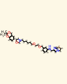 CC1(C)OCc2cc([C@@H]3CN(CCCCCCOCCOCc4cccc(NCc5cn6c(n5)SCC6)c4)CO3)ccc2O1